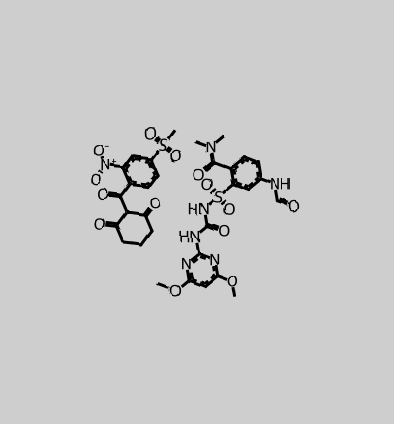 COc1cc(OC)nc(NC(=O)NS(=O)(=O)c2cc(NC=O)ccc2C(=O)N(C)C)n1.CS(=O)(=O)c1ccc(C(=O)C2C(=O)CCCC2=O)c([N+](=O)[O-])c1